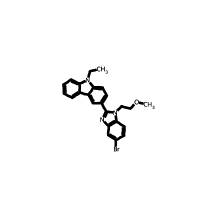 CCn1c2ccccc2c2cc(-c3nc4cc(Br)ccc4n3CCOC)ccc21